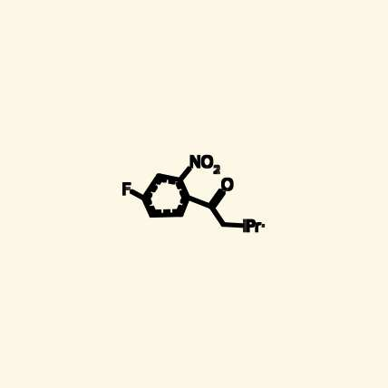 C[C](C)CC(=O)c1ccc(F)cc1[N+](=O)[O-]